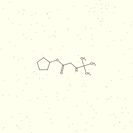 CC(C)(C)NCC(=O)OC1CCCC1